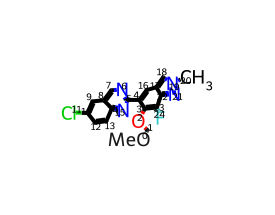 COCOc1c(-c2ncc3cc(Cl)ccc3n2)cc2cn(C)nc2c1F